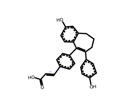 O=C(O)/C=C/c1ccc(C2=C(c3ccc(O)cc3)CCCc3cc(O)ccc32)cc1